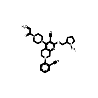 C=CC(=O)N1CCN(c2c(C#N)c(OCC3CCCN3C)nc3c2CCN(c2ccccc2C#N)C3)CC1